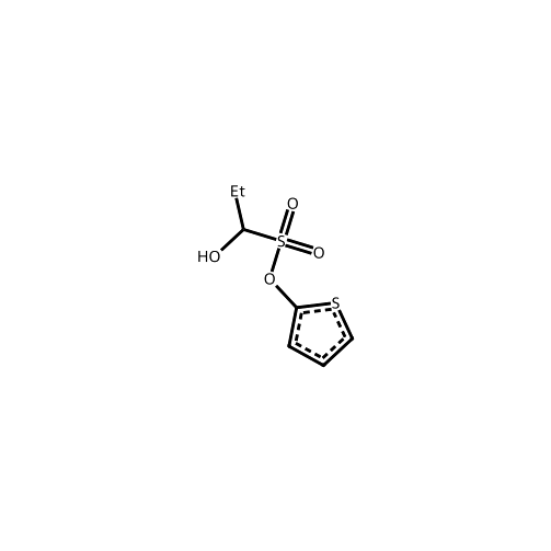 CCC(O)S(=O)(=O)Oc1cccs1